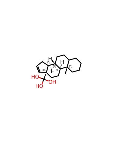 C[C@]12CCCCC1CC[C@@H]1[C@@H]2CC[C@]2(C(O)(O)O)C=CC[C@@H]12